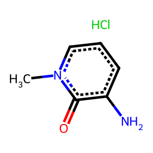 Cl.Cn1cccc(N)c1=O